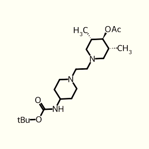 CC(=O)O[C@H]1[C@H](C)CN(CCN2CCC(NC(=O)OC(C)(C)C)CC2)C[C@@H]1C